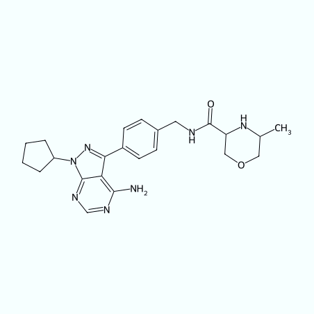 CC1COCC(C(=O)NCc2ccc(-c3nn(C4CCCC4)c4ncnc(N)c34)cc2)N1